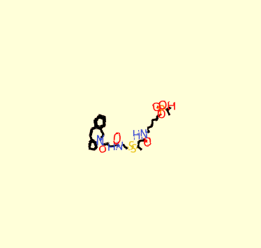 CC(CC(=O)NCCCCCCOP(=O)(O)C(C)C)SSCCNC(=O)CCC(=O)N1Cc2ccccc2/C=C\c2ccccc21